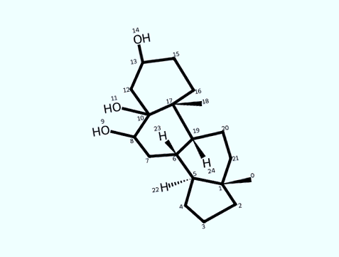 C[C@@]12CCC[C@H]1[C@@H]1CC(O)C3(O)CC(O)CC[C@]3(C)[C@@H]1CC2